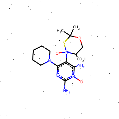 CC1(C)OCC(C(=O)O)[N+]([O-])(c2c(N3CCCCC3)nc(N)[n+]([O-])c2N)S1